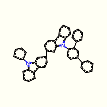 c1ccc(-c2ccc(-n3c4ccccc4c4ccc(-c5ccc6c7ccccc7n(-c7ccccc7)c6c5)cc43)c(-c3ccccc3)c2)cc1